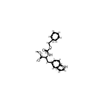 COC(=O)C(Cc1ccc2[nH]ccc2c1)NC(=O)OCc1ccccc1